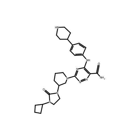 NC(=O)c1nnc(N2CCCC(N3CCN(C4CCC4)C3=O)C2)nc1Nc1ccc(C2CCNCC2)cc1